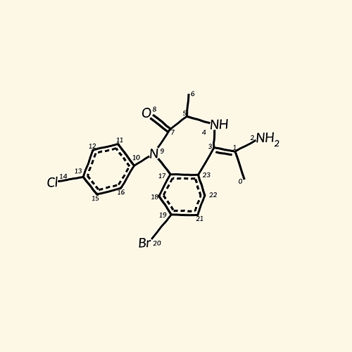 C/C(N)=C1/NC(C)C(=O)N(c2ccc(Cl)cc2)c2cc(Br)ccc21